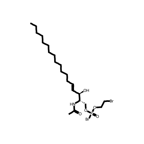 CCCCCCCCCCCCC/C=C/[C@@H](O)[C@H](COP(=O)(Br)OCCBr)NC(C)=O